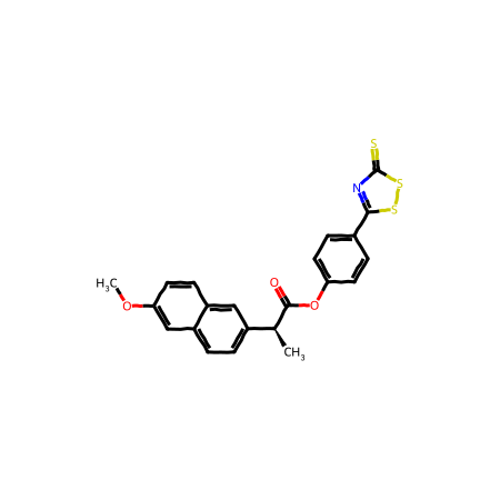 COc1ccc2cc([C@H](C)C(=O)Oc3ccc(-c4nc(=S)ss4)cc3)ccc2c1